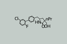 CCCC1(CO)CC(Cc2ccc(-c3cc(Cl)ccc3F)cc2)NC1=O